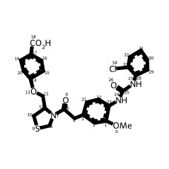 COc1cc(CC(=O)N2CSCC2COc2ccc(C(=O)O)cc2)ccc1NC(=O)Nc1ccccc1Cl